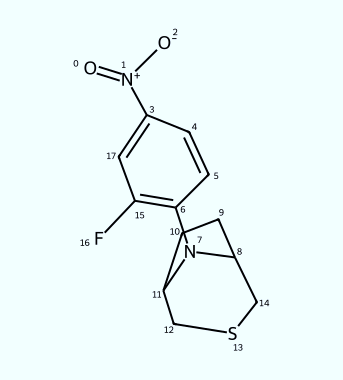 O=[N+]([O-])c1ccc(N2C3CCC2CSC3)c(F)c1